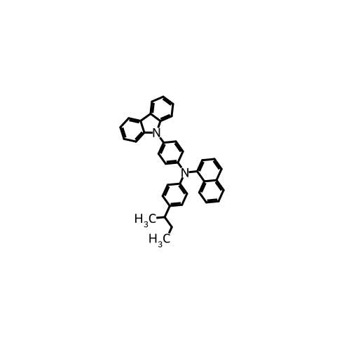 CCC(C)c1ccc(N(c2ccc(-n3c4ccccc4c4ccccc43)cc2)c2cccc3ccccc23)cc1